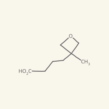 CC1(CCCC(=O)O)COC1